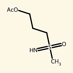 CC(=O)OCCCS(C)(=N)=O